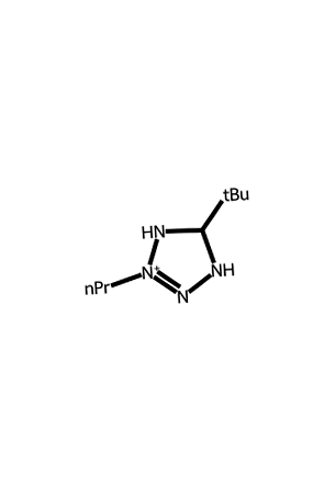 CCC[N+]1=NNC(C(C)(C)C)N1